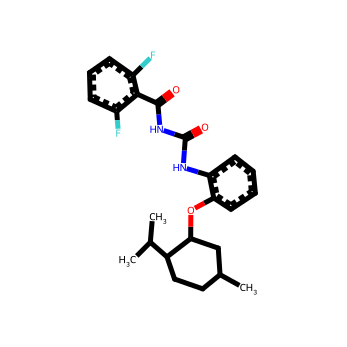 CC1CCC(C(C)C)C(Oc2ccccc2NC(=O)NC(=O)c2c(F)cccc2F)C1